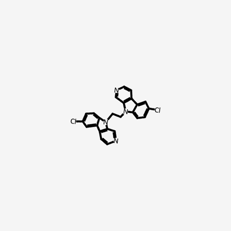 Clc1ccc2c(c1)c1ccncc1n2CCn1c2ccc(Cl)cc2c2ccncc21